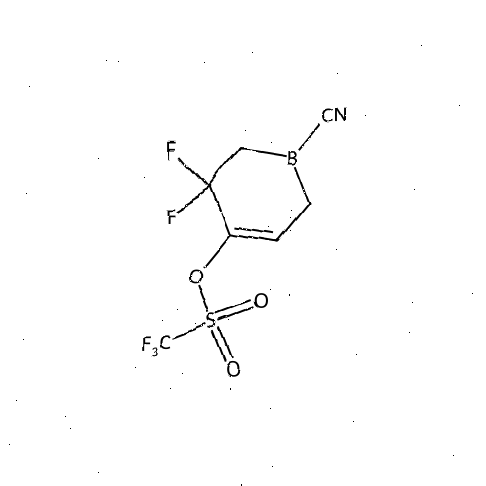 N#CB1CC=C(OS(=O)(=O)C(F)(F)F)C(F)(F)C1